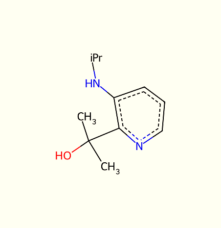 CC(C)Nc1cccnc1C(C)(C)O